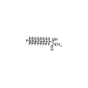 CC(O)C(O)C(F)(F)C(F)(F)C(F)(F)C(F)(F)C(F)(F)C(F)(F)C(F)(F)C(F)(F)F